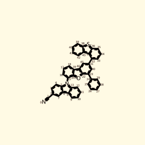 N#Cc1ccc2c(c1)c1ccccc1n2-c1cccc2c1oc1c(-c3ccccc3)cc(-c3cccc4sc5ccccc5c34)cc12